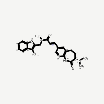 Cc1c(CN(C)C(=O)/C=C/c2cnc3c(c2)CC[C@H](N(C)C)C(=O)N3)oc2ccccc12